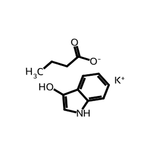 CCCC(=O)[O-].Oc1c[nH]c2ccccc12.[K+]